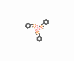 CP(C)(C)(Cc1ccccc1)OB(OP(C)(C)(C)Cc1ccccc1)OP(C)(C)(C)Cc1ccccc1